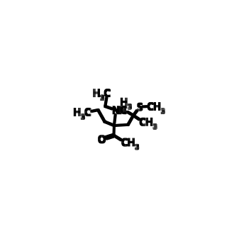 CCCC(CC(C)(C)SC)(NCC)C(C)=O